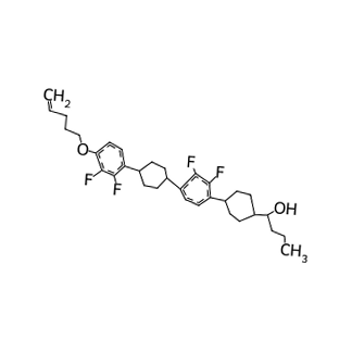 C=CCCCOc1ccc(C2CCC(c3ccc(C4CCC(C(O)CCC)CC4)c(F)c3F)CC2)c(F)c1F